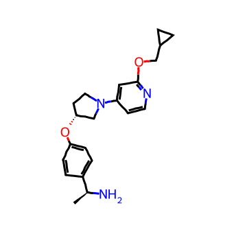 C[C@H](N)c1ccc(O[C@@H]2CCN(c3ccnc(OCC4CC4)c3)C2)cc1